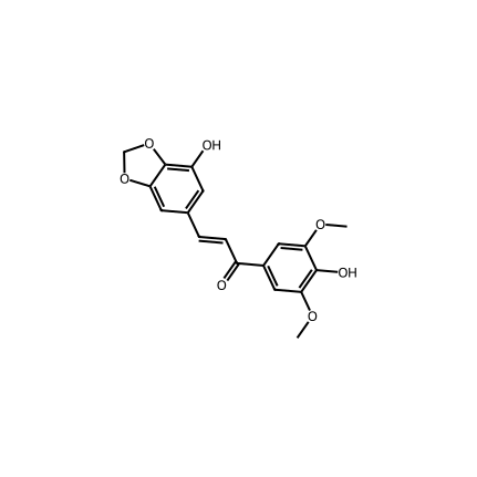 COc1cc(C(=O)/C=C/c2cc(O)c3c(c2)OCO3)cc(OC)c1O